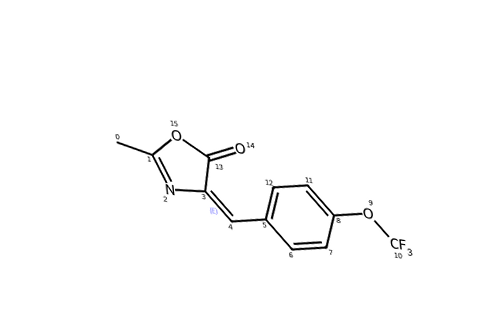 CC1=N/C(=C/c2ccc(OC(F)(F)F)cc2)C(=O)O1